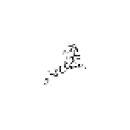 CC(C)c1c(C(=O)N[C@@H](CC(C)(C)C(F)(F)F)c2nc3cc([C@@H](C)NC(=O)CCC(F)(F)F)ccc3[nH]2)no[n+]1[O-]